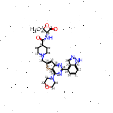 C[C@H]1OC(=O)[C@H]1NC(=O)C1CCN(Cc2cc3nc(-c4cccc5[nH]ncc45)nc(N4CCOCC4)c3s2)CC1